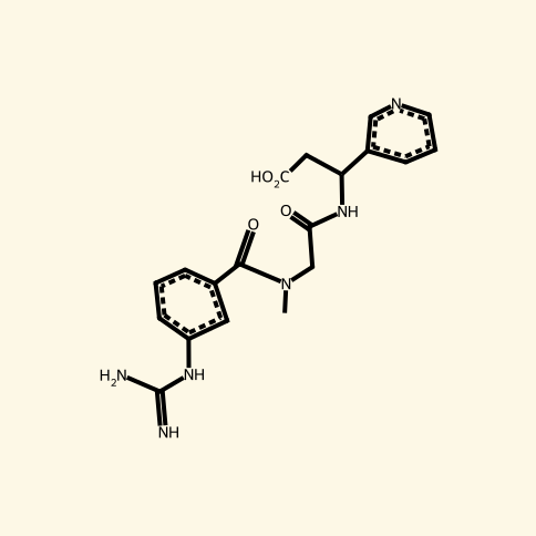 CN(CC(=O)NC(CC(=O)O)c1cccnc1)C(=O)c1cccc(NC(=N)N)c1